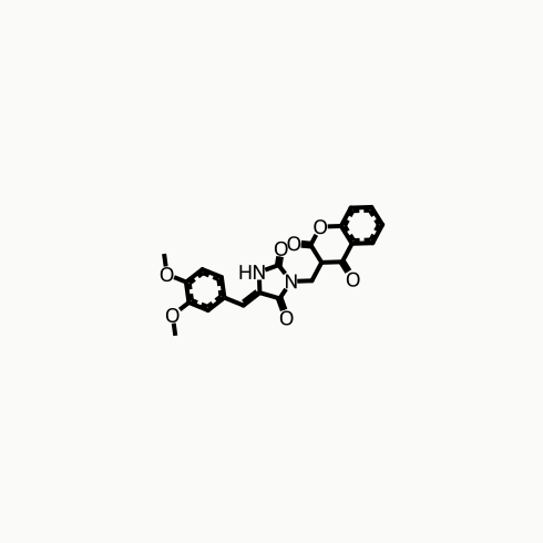 COc1ccc(/C=C2\NC(=O)N(CC3C(=O)Oc4ccccc4C3=O)C2=O)cc1OC